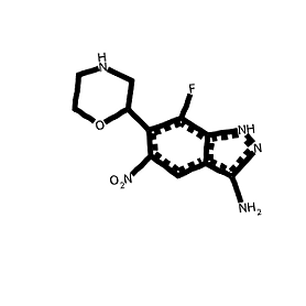 Nc1n[nH]c2c(F)c(C3CNCCO3)c([N+](=O)[O-])cc12